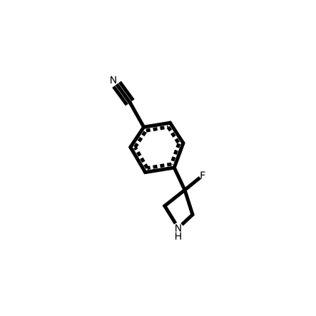 N#Cc1ccc(C2(F)CNC2)cc1